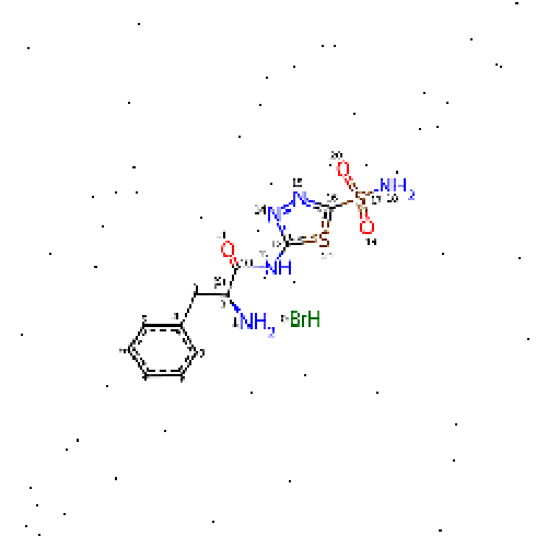 Br.N[C@@H](Cc1ccccc1)C(=O)Nc1nnc(S(N)(=O)=O)s1